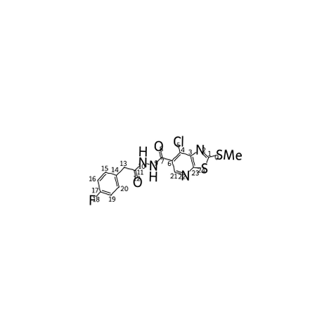 CSc1nc2c(Cl)c(C(=O)NNC(=O)Cc3ccc(F)cc3)cnc2s1